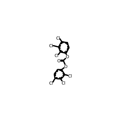 O=C(Oc1ccc(Cl)c(Cl)c1Cl)Oc1ccc(Cl)c(Cl)c1Cl